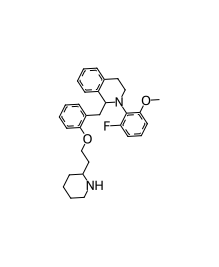 COc1cccc(F)c1N1CCc2ccccc2C1Cc1ccccc1OCCC1CCCCN1